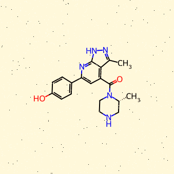 Cc1n[nH]c2nc(-c3ccc(O)cc3)cc(C(=O)N3CCNC[C@H]3C)c12